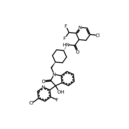 O=C(N[C@H]1CC[C@H](CN2C(=O)C(O)(c3ncc(Cl)cc3F)c3ccccc32)CC1)C1CC(Cl)=CN=C1C(F)F